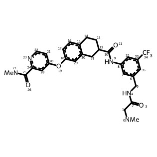 CNCC(=O)NCc1cc(NC(=O)C2CCc3ccc(Oc4ccnc(C(=O)NC)c4)cc3C2)cc(C(F)(F)F)c1